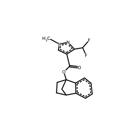 Cn1cc(C(=O)OC23CCC(C2)c2ccccc23)c(C(F)F)n1